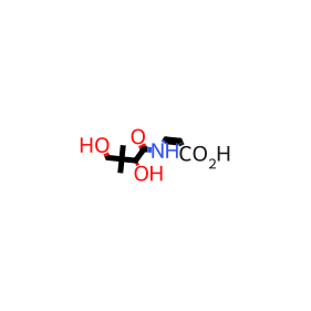 CC(C)(CO)[C@H](O)C(=O)N/C=C\C(=O)O